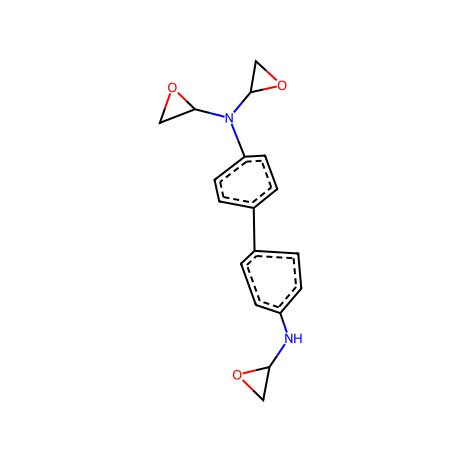 c1cc(-c2ccc(N(C3CO3)C3CO3)cc2)ccc1NC1CO1